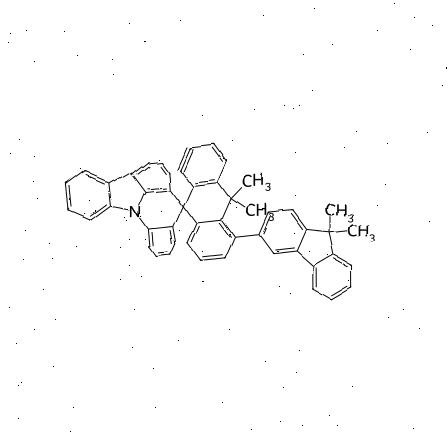 CC1(C)c2ccccc2-c2cc(-c3cccc4c3C(C)(C)c3ccc#cc3C43c4ccccc4-n4c5ccccc5c5cccc3c54)ccc21